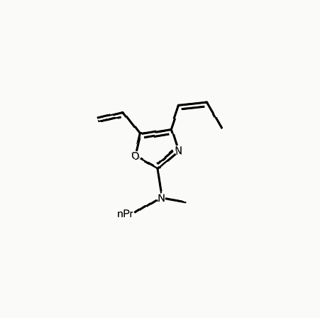 C=Cc1oc(N(C)CCC)nc1/C=C\C